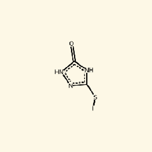 O=c1[nH]nc(SI)[nH]1